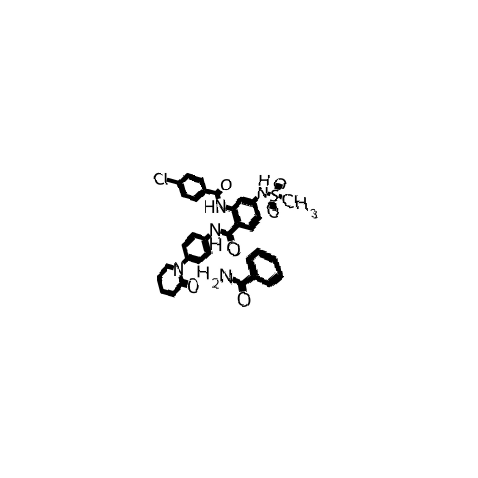 CS(=O)(=O)Nc1ccc(C(=O)Nc2ccc(N3CCCCC3=O)cc2)c(NC(=O)c2ccc(Cl)cc2)c1.NC(=O)c1ccccc1